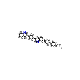 FC(F)(F)c1ccc(-c2ccc(-c3ccc4cc(-c5ccc(-c6cnc7ccccc7c6)cc5)cnc4c3)cc2)cc1